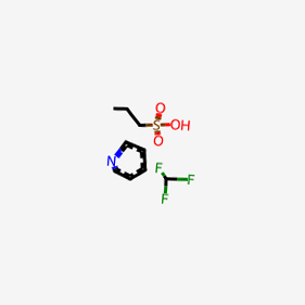 CCCS(=O)(=O)O.FC(F)F.c1ccncc1